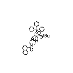 CC(C)(C)OC(=O)N[C@@H](CSC(c1ccccc1)(c1ccccc1)c1ccccc1)CN1CCCN(C(=O)c2cccc3ccccc23)CC1